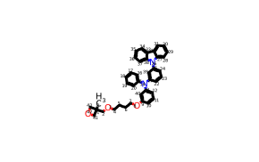 CC1(COCCCCOc2cccc(N(c3ccccc3)c3cccc(-n4c5ccccc5c5ccccc54)c3)c2)COC1